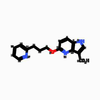 O=C(O)c1c[nH]c2ccc(OCCCc3ccccn3)nc12